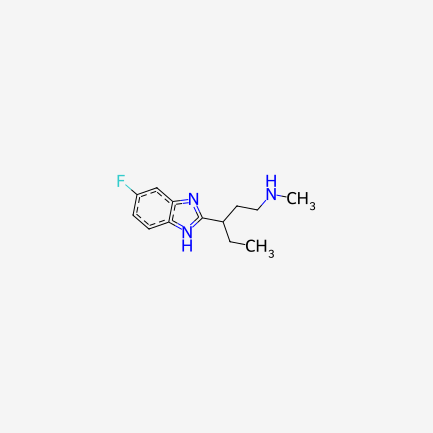 CCC(CCNC)c1nc2cc(F)ccc2[nH]1